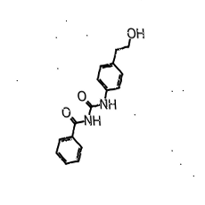 O=C(NC(=O)c1ccccc1)Nc1ccc(CCO)cc1